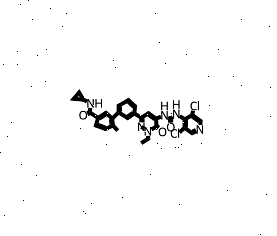 CCn1nc(-c2cccc(-c3cc(C(=O)NC4CC4)ccc3C)c2)cc(NC(=O)Nc2c(Cl)cncc2Cl)c1=O